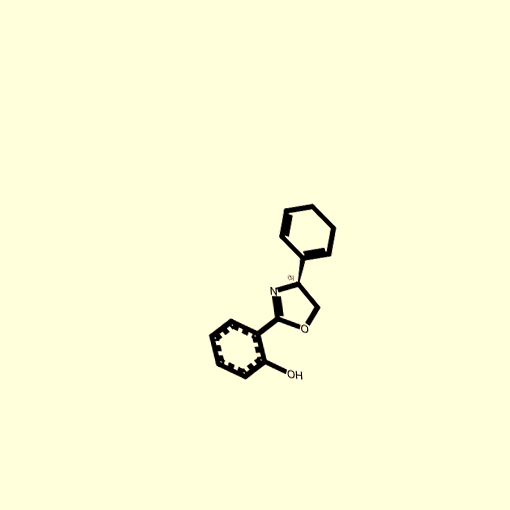 Oc1ccccc1C1=N[C@@H](C2=CCCC=C2)CO1